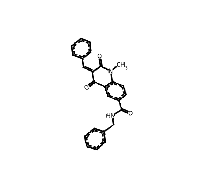 CN1C(=O)/C(=C\c2ccccc2)C(=O)c2cc(C(=O)NCc3ccccc3)ccc21